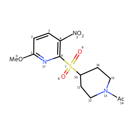 COc1ccc([N+](=O)[O-])c(S(=O)(=O)C2CCN(C(C)=O)CC2)n1